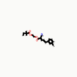 CCC(C)(C)C(=O)OCCOC(=O)/C(C#N)=C/C=C/c1cccc(C)c1